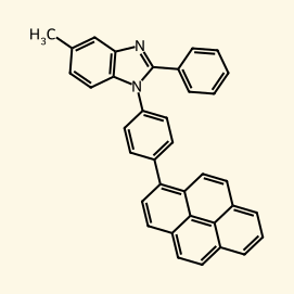 Cc1ccc2c(c1)nc(-c1ccccc1)n2-c1ccc(-c2ccc3ccc4cccc5ccc2c3c45)cc1